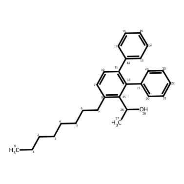 CCCCCCCCc1ccc(-c2ccccc2)c(-c2ccccc2)c1C(C)O